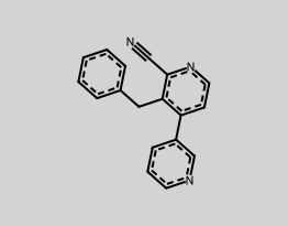 N#Cc1nccc(-c2cccnc2)c1Cc1ccccc1